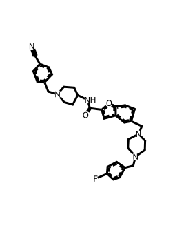 N#Cc1ccc(CN2CCC(NC(=O)c3cc4cc(CN5CCN(Cc6ccc(F)cc6)CC5)ccc4o3)CC2)cc1